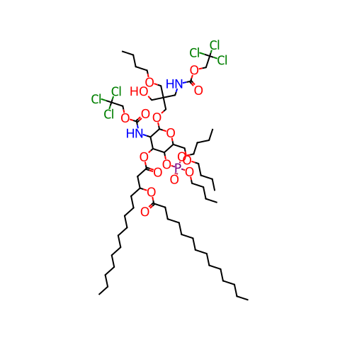 CCCCCCCCCCCCCC(=O)OC(CCCCCCCCCCC)CC(=O)OC1C(NC(=O)OCC(Cl)(Cl)Cl)C(OCC(CO)(CNC(=O)OCC(Cl)(Cl)Cl)COCCCC)OC(COCCCC)C1OP(=O)(OCCCC)OCCCC